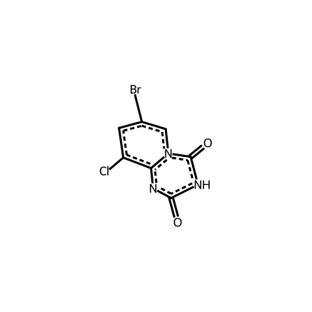 O=c1nc2c(Cl)cc(Br)cn2c(=O)[nH]1